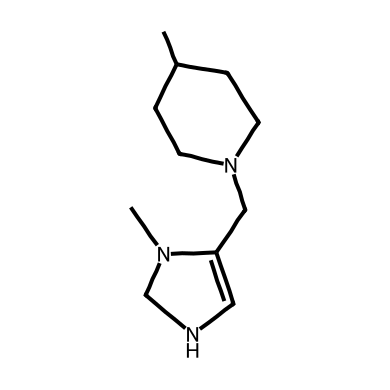 CC1CCN(CC2=CNCN2C)CC1